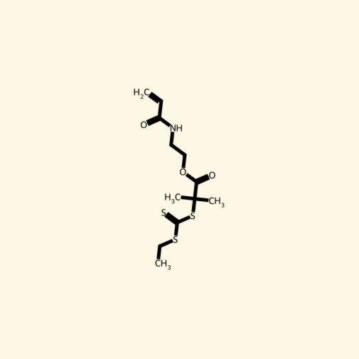 C=CC(=O)NCCOC(=O)C(C)(C)SC(=S)SCC